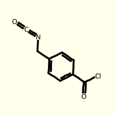 O=C=NCc1ccc(C(=O)Cl)cc1